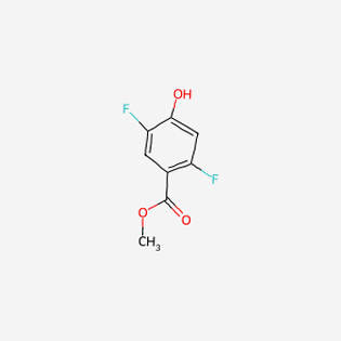 COC(=O)c1cc(F)c(O)cc1F